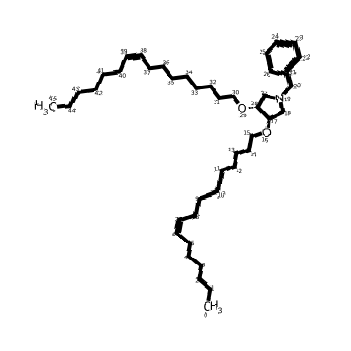 CCCCCC/C=C\CCCCCCCCO[C@@H]1CN(Cc2ccccc2)C[C@H]1OCCCCCCCC/C=C\CCCCCC